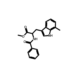 COC(=O)C(Cc1c[nH]c2c(C)cccc12)NC(=O)c1ccccc1